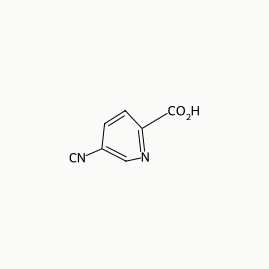 [C-]#[N+]c1ccc(C(=O)O)nc1